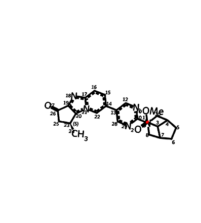 COC(=O)C1C2CCC1CN(c1ncc(-c3ccc4nc5c(n4c3)[C@@H](C)CC5=O)cn1)C2